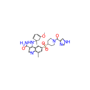 COC1=CC=CC(C)(Nc2c(C(N)=O)cnc3c(C)cc(S(=O)(=O)C4CCN(C(=O)c5c[nH]cn5)CC4)cc23)C1